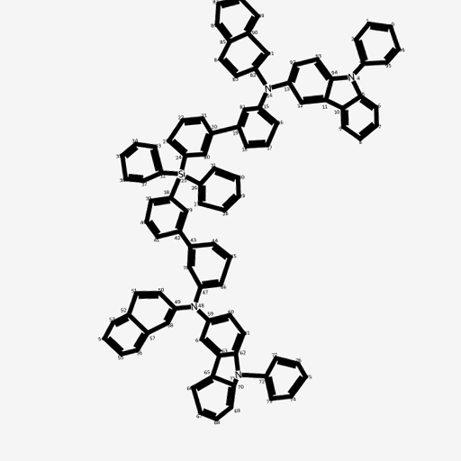 c1ccc(-n2c3ccccc3c3cc(N(c4cccc(-c5cccc([Si](c6ccccc6)(c6ccccc6)c6cccc(-c7cccc(N(c8ccc9ccccc9c8)c8ccc9c(c8)c8ccccc8n9-c8ccccc8)c7)c6)c5)c4)c4ccc5ccccc5c4)ccc32)cc1